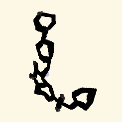 O=C1Nc2ccc(S(=O)(=O)Cc3ccccc3)cc2/C1=C/c1ccc(N2CCOCC2)cc1